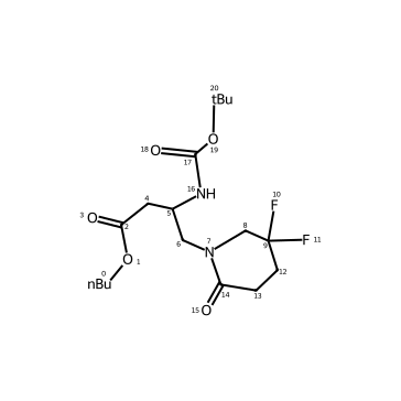 CCCCOC(=O)CC(CN1CC(F)(F)CCC1=O)NC(=O)OC(C)(C)C